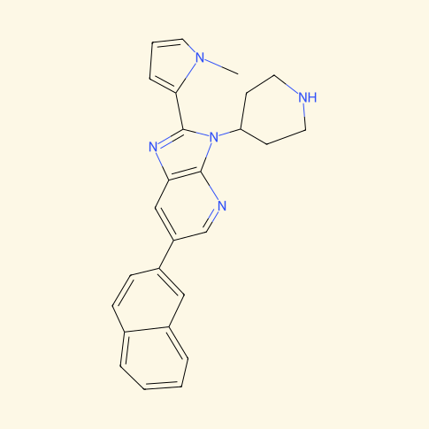 Cn1cccc1-c1nc2cc(-c3ccc4ccccc4c3)cnc2n1C1CCNCC1